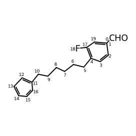 O=Cc1ccc(CCCCCCc2ccccc2)c(F)c1